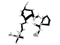 CC(C)(C)OC(=O)N1CCC[C@H]1COc1cc(F)ccc1CCCO[Si](C)(C)C(C)(C)C